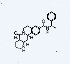 C[C@H](c1ccccc1)N(F)C(=O)c1ccc2c(c1)CCN1C(=O)[C@@H]3CCCN[C@@H]3C[C@@H]21